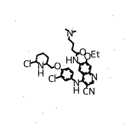 CCOc1cc2ncc(C#N)c(Nc3ccc(OCC4CCCC(Cl)N4)c(Cl)c3)c2cc1NC(=O)CCCN(C)C